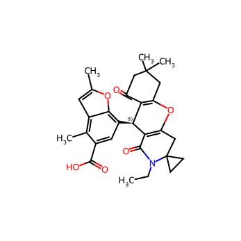 CCN1C(=O)C2=C(CC13CC3)OC1=C(C(=O)CC(C)(C)C1)[C@@H]2c1cc(C(=O)O)c(C)c2cc(C)oc12